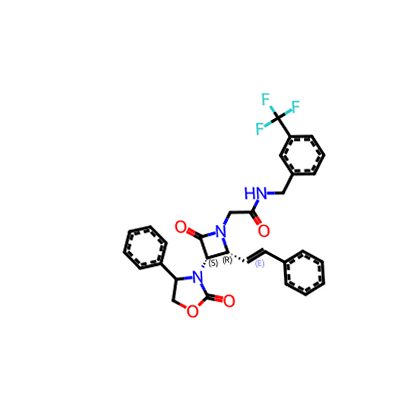 O=C(CN1C(=O)[C@@H](N2C(=O)OCC2c2ccccc2)[C@H]1/C=C/c1ccccc1)NCc1cccc(C(F)(F)F)c1